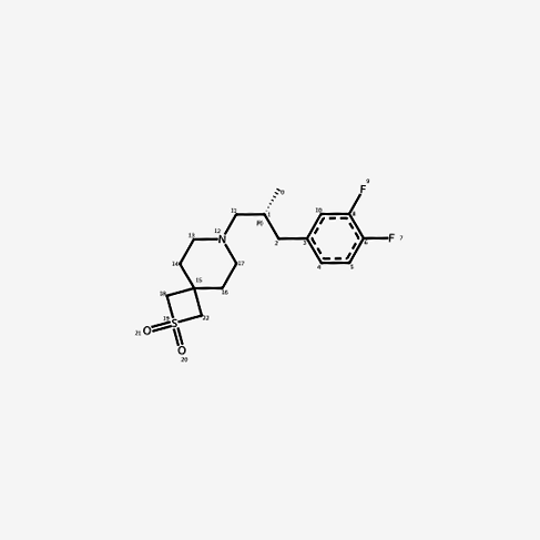 C[C@H](Cc1ccc(F)c(F)c1)CN1CCC2(CC1)CS(=O)(=O)C2